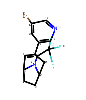 FC(F)(F)CN1C2C=C(c3cncc(Br)c3)CC1CC2